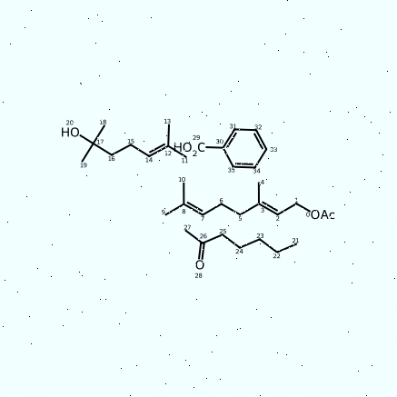 CC(=O)OC/C=C(\C)CCC=C(C)C.CC(C)=CCCC(C)(C)O.CCCCCC(C)=O.O=C(O)c1ccccc1